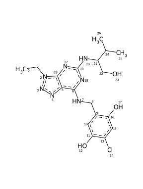 CCn1nnc2c(NCc3cc(O)c(Cl)cc3O)nc(NC(CO)C(C)C)nc21